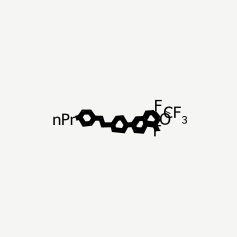 CCCC1CCC(CCC2CCC(c3ccc4c(F)c(OC(F)(F)F)c(F)cc4c3)CC2)CC1